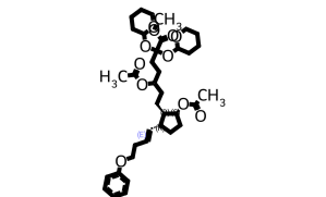 COC(=O)C(CCC(CC[C@H]1[C@@H](OC(C)=O)CC[C@@H]1/C=C/CCOc1ccccc1)OC(C)=O)(OC1CCCCO1)OC1CCCCO1